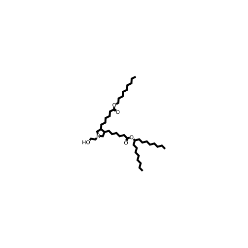 CCCCCCCCCOC(=O)CCCCCC1CN(CCO)CC1CCCCCC(=O)OC(CCCCCCCC)CCCCCCCC